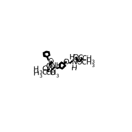 CC(C)(C)OC(=O)NCCOc1ccc(C[C@H](NC(=O)OCc2ccccc2)C(=O)OC(C)(C)C)cc1